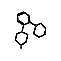 c1cnc(N2CCCCC2)c(N2CCNCC2)c1